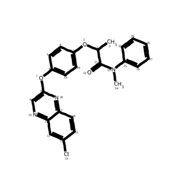 CC(Oc1ccc(Oc2cnc3cc(Cl)ccc3n2)cc1)C(=O)N(C)c1ccccc1